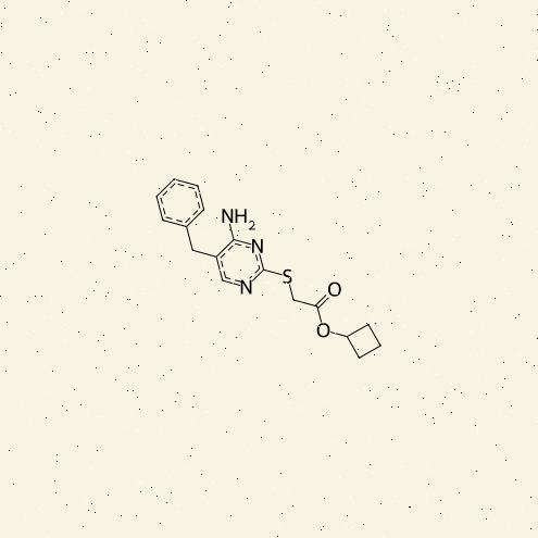 Nc1nc(SCC(=O)OC2CCC2)ncc1Cc1ccccc1